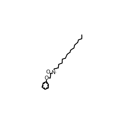 CCCCCCCCCCCCCCC[N]C(=O)COc1ccccc1